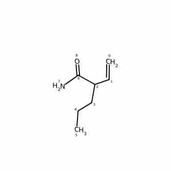 C=CC(CCC)C(N)=O